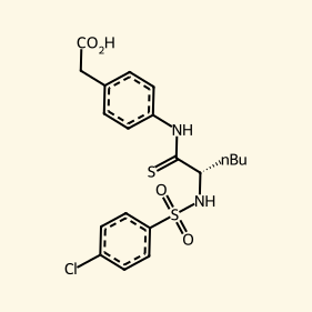 CCCC[C@H](NS(=O)(=O)c1ccc(Cl)cc1)C(=S)Nc1ccc(CC(=O)O)cc1